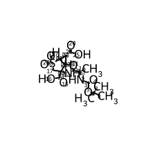 C[C@H](NC(=O)OC(C)(C)C)C(=O)N[C@@]1(C(=O)O)CS(=O)(=O)[C@H]2[C@H](C(=O)O)[C@H]21